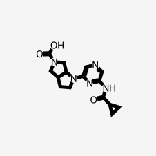 O=C(Nc1cncc(N2CCC3CN(C(=O)O)CC32)n1)C1CC1